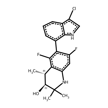 C[C@@H]1c2c(cc(F)c(-c3cccc4c(Cl)c[nH]c34)c2F)NC(C)(C)[C@H]1O